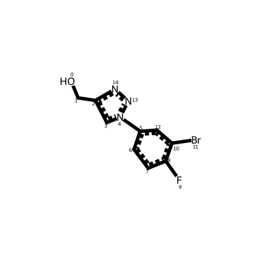 OCc1cn(-c2ccc(F)c(Br)c2)nn1